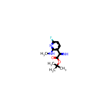 CNc1nc(F)ccc1C(=N)C(=O)OC(C)(C)C